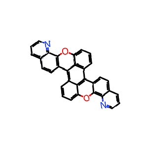 c1cnc2c(c1)ccc1c2oc2cccc3c2c1c1cccc2oc4c(ccc5cccnc54)c3c21